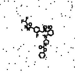 CN(c1ccccc1N(C=O)Cc1ccc(-c2nnc(C(F)F)o2)cc1F)C1CCN(C(=O)Oc2ccccc2)C1